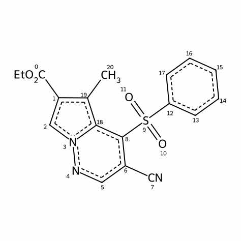 CCOC(=O)c1cn2ncc(C#N)c(S(=O)(=O)c3ccccc3)c2c1C